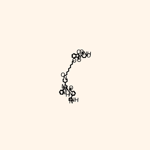 O=C1CCC(N2C(=O)c3cccc(OCCCCCCCCC(=O)N4CCC(c5cc(NC(=O)c6cccc(-c7ccn[nH]7)n6)n(-c6ccccn6)n5)CC4)c3C2=O)C(=O)N1